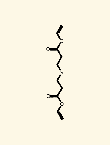 C=COC(=O)CCSCCC(=O)OC=C